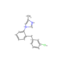 Cc1cn(-c2ccccc2Cc2cccc(Cl)c2)cn1